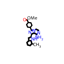 COC(=O)C1CCC(c2nc(-c3cc4cccc(C)c4[nH]3)c3c(N)nccn23)CC1